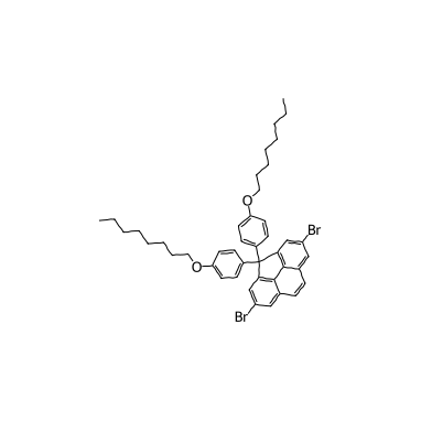 CCCCCCCCOc1ccc(C2(c3ccc(OCCCCCCCC)cc3)c3cc(Br)cc4ccc5cc(Br)cc2c5c34)cc1